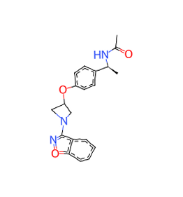 CC(=O)N[C@@H](C)c1ccc(OC2CN(c3noc4ccccc34)C2)cc1